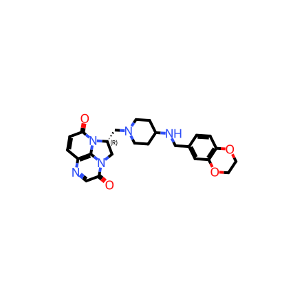 O=c1cnc2ccc(=O)n3c2n1C[C@H]3CN1CCC(NCc2ccc3c(c2)OCCO3)CC1